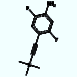 C[Si](C)(C)C#Cc1cc(F)c(N)cc1F